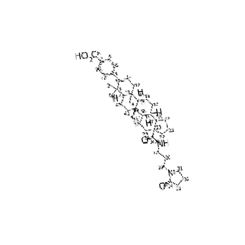 CC1(C)C(c2ccc(C(=O)O)cc2)=CC[C@]2(C)[C@H]3CC[C@@H]4[C@H]5CCC[C@]5(C(=O)NCCCN5CCCC5=O)CC[C@@]4(C)[C@]3(C)CC[C@@H]12